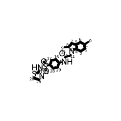 Cc1ccc2c(c1)cc(C)n2CC(=O)Nc1ccc(S(=O)(=O)Nc2nccs2)cc1